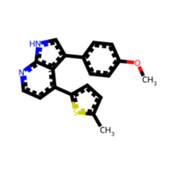 COc1ccc(-c2c[nH]c3nccc(-c4ccc(C)s4)c23)cc1